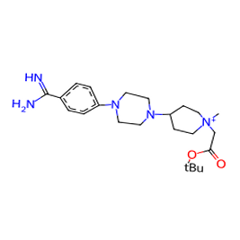 CC(C)(C)OC(=O)C[N+]1(C)CCC(N2CCN(c3ccc(C(=N)N)cc3)CC2)CC1